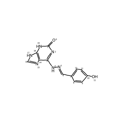 O=c1nc(NN=Cc2ccc(O)cc2)c2nc[nH]c2[nH]1